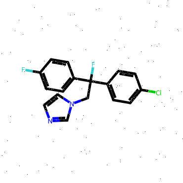 Fc1ccc(C(F)(Cn2ccnc2)c2ccc(Cl)cc2)cc1